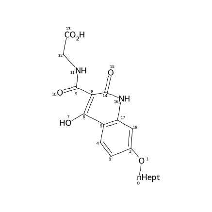 CCCCCCCOc1ccc2c(O)c(C(=O)NCC(=O)O)c(=O)[nH]c2c1